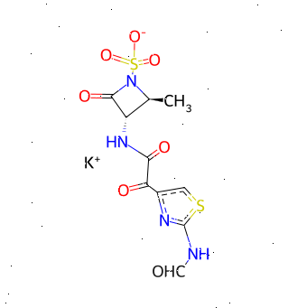 C[C@H]1[C@H](NC(=O)C(=O)c2csc(NC=O)n2)C(=O)N1S(=O)(=O)[O-].[K+]